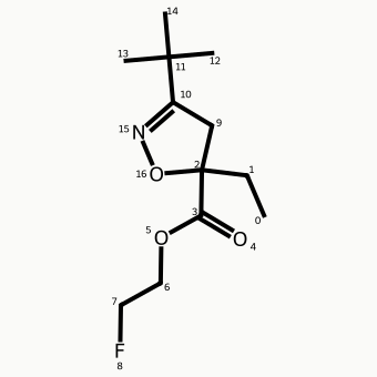 CCC1(C(=O)OCCF)CC(C(C)(C)C)=NO1